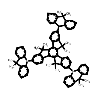 CC1(C)c2ccccc2C(c2ccc3c(c2)C(C)(C)c2c-3c3c(c4c2-c2ccc(N5c6ccccc6C(C)(C)c6ccccc65)cc2C4(C)C)-c2ccc(N4c5ccccc5C(C)(C)c5ccccc54)cc2C3(C)C)c2ccccc21